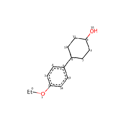 CCOc1ccc(C2CCC(O)CC2)cc1